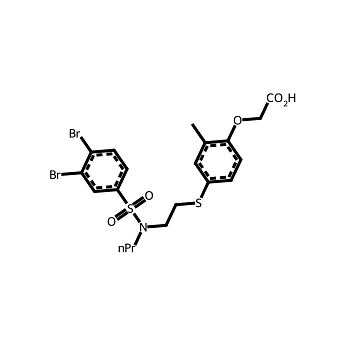 CCCN(CCSc1ccc(OCC(=O)O)c(C)c1)S(=O)(=O)c1ccc(Br)c(Br)c1